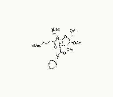 CCCCCCCCCCCCCC(=O)N(CCCCCCCCCCCC)[C@@H]1O[C@H](COC(C)=O)[C@@H](OC(C)=O)[C@H](OC(C)=O)[C@H]1NC(=O)OCc1ccccc1